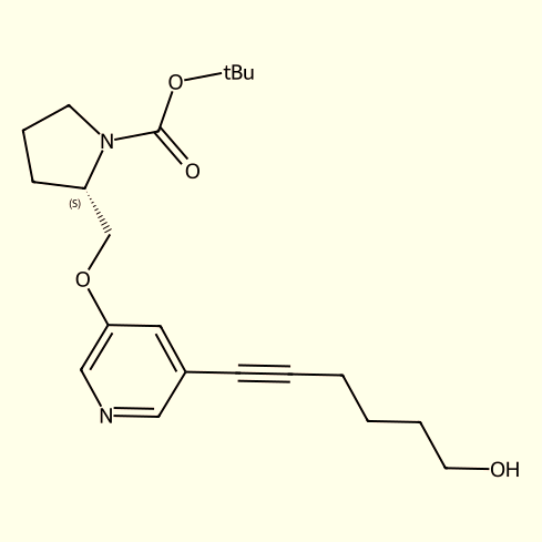 CC(C)(C)OC(=O)N1CCC[C@H]1COc1cncc(C#CCCCCO)c1